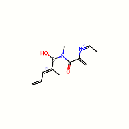 C=C/C=C(\C)B(O)N(C)C(=O)C(=C)/N=C\C